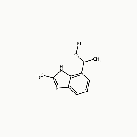 CCOC(C)c1cccc2nc(C)[nH]c12